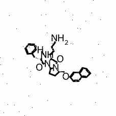 [2H]N[C@@H](Cc1ccccc1)C(=O)N1C2CC[C@H](COc3ccc4ccccc4c3)N2C(=O)[C@@H]1CCCCN